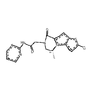 C[C@@H]1CN(CC(=O)Nc2ncccn2)C(=O)c2cc3sc(Cl)cc3n21